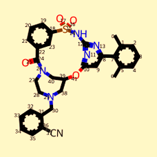 Cc1cccc(C)c1-c1cc2nc(n1)NS(=O)(=O)c1cccc(c1)C(=O)N1CCN(Cc3ccccc3C#N)CC(C1)O2